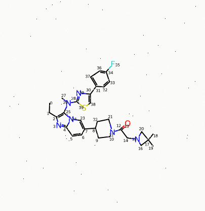 CCc1nc2ccc(C3CCN(C(=O)CN4CC(C)(C)C4)CC3)cn2c1N(C)c1nc(-c2ccc(F)cc2)cs1